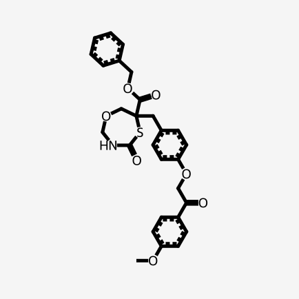 COc1ccc(C(=O)COc2ccc(CC3(C(=O)OCc4ccccc4)COCNC(=O)S3)cc2)cc1